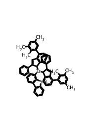 Cc1cc(C)c(C)c(-c2cccc3c2C=C(c2ccccc2)[CH]3[Zr]([c]2cccc3c2[SiH2]c2ccccc2-3)[CH]2C(c3ccccc3)=Cc3c(-c4cc(C)cc(C)c4C)cccc32)c1